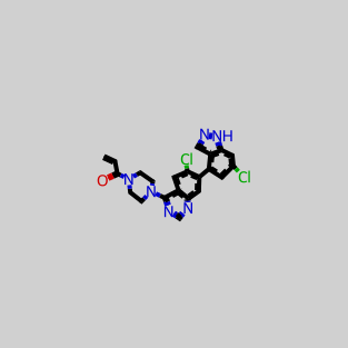 C=CC(=O)N1CCN(c2ncnc3cc(-c4cc(Cl)cc5[nH]ncc45)c(Cl)cc23)CC1